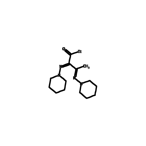 CCC(=O)C(=NN1CCCCC1)C(C)=NN1CCCCC1